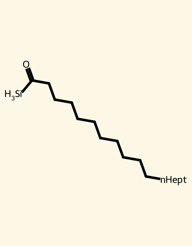 CCCCCCCCCCCCCCCCCC(=O)[SiH3]